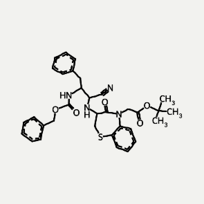 CC(C)(C)OC(=O)CN1C(=O)C(NC(C#N)C(Cc2ccccc2)NC(=O)OCc2ccccc2)CSc2ccccc21